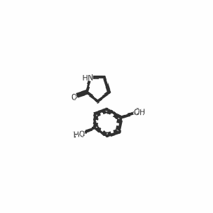 O=C1CCCN1.Oc1ccc(O)cc1